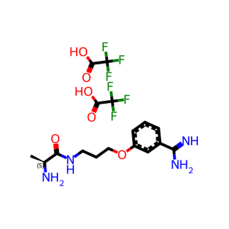 C[C@H](N)C(=O)NCCCOc1cccc(C(=N)N)c1.O=C(O)C(F)(F)F.O=C(O)C(F)(F)F